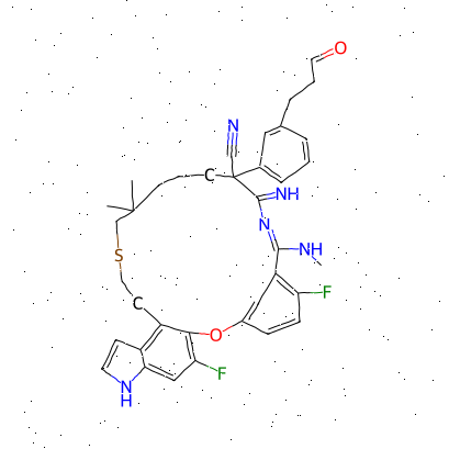 CN/C1=N\C(=N)C(C#N)(c2cccc(CCC=O)c2)CCCC(C)(C)CSCCc2c(c(F)cc3[nH]ccc23)Oc2ccc(F)c1c2